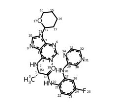 C[C@H](Nc1ncnc2c1ncn2C1CCCCO1)C(=O)Nc1ccc(F)cc1Nc1cnccn1